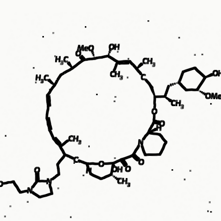 CO[C@@H]1C[C@H](C[C@@H](C)[C@@H]2CC[C@H](C)/C=C(\C)[C@@H](O)[C@@H](OC)C(=O)[C@H](C)C[C@H](C)/C=C/C=C/C=C(\C)C(CCN3CCN(CCO)C3=O)C[C@@H]3CC[C@@H](C)[C@@](O)(O3)C(=O)C(=O)N3CCCC[C@H]3C(=O)O2)CC[C@H]1O